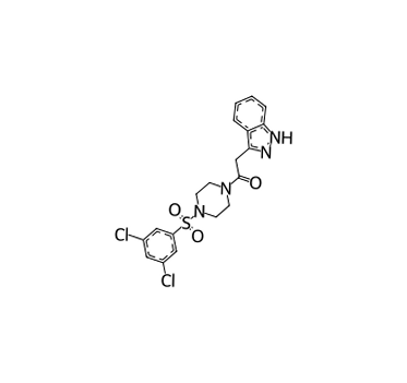 O=C(Cc1n[nH]c2ccccc12)N1CCN(S(=O)(=O)c2cc(Cl)cc(Cl)c2)CC1